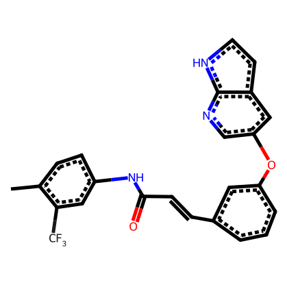 Cc1ccc(NC(=O)C=Cc2cccc(Oc3cnc4[nH]ccc4c3)c2)cc1C(F)(F)F